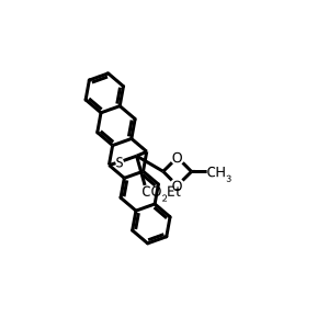 CCOC(=O)C1(C2OC(C)O2)SC2c3cc4ccccc4cc3C1c1cc3ccccc3cc12